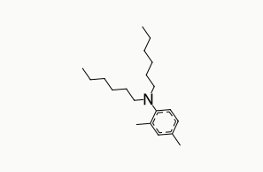 CCCCCCN(CCCCCC)c1ccc(C)cc1C